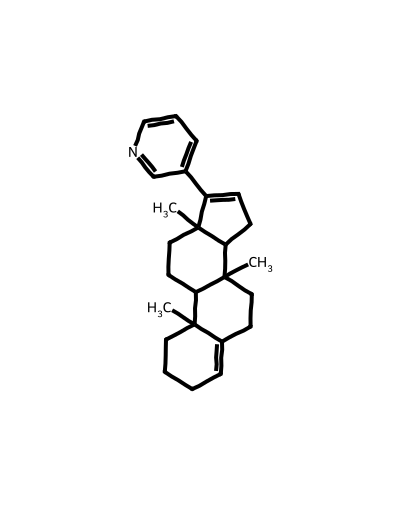 CC12CCCC=C1CCC1(C)C2CCC2(C)C(c3cccnc3)=CCC21